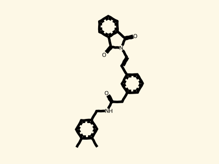 Cc1ccc(CNC(=O)Cc2cccc(/C=C/N3C(=O)c4ccccc4C3=O)c2)cc1C